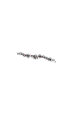 C=CC(=O)OCCOCCOCCOc1ccc(OC(=O)C2CCC(COc3ccc(OCC4CCC(C(=O)Oc5ccc(OCCOCCO)cc5)CC4)cc3C=N)CC2)cc1